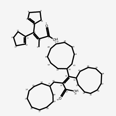 CC(C(=O)O)=C(C1=CCCC1)C1=CCCC1.O=C(O)C(CC1CCCCCCCCC1)=C(C1CCCCCCCCC1)C1CCCCCCCCC1